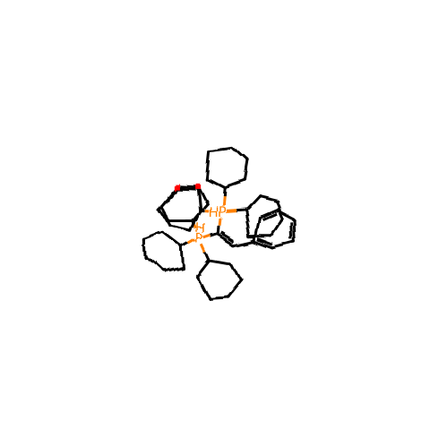 C(=C([PH](C1CCCCC1)(C1CCCCC1)C1CCCCC1)[PH](C1CCCCC1)(C1CCCCC1)C1CCCCC1)c1ccccc1